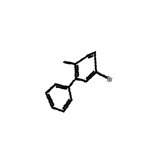 Cc1ccc(Br)cc1-c1ccccc1